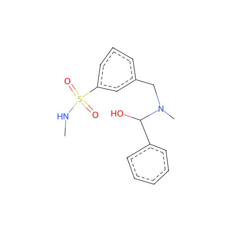 CNS(=O)(=O)c1cccc(CN(C)C(O)c2ccccc2)c1